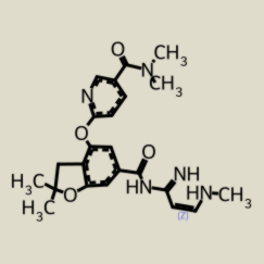 CN/C=C\C(=N)NC(=O)c1cc(Oc2ccc(C(=O)N(C)C)cn2)c2c(c1)OC(C)(C)C2